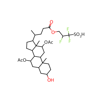 CC(=O)OC1CC2CC(O)CCC2(C)C2CC(OC(C)=O)C3(C)C(C(C)CCC(=O)OCC(F)C(F)(F)S(=O)(=O)O)CCC3C12